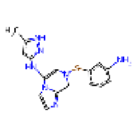 Cc1cc(NC2=CN(Sc3cccc(N)c3)CC3=NC=C[N+]23)n[nH]1